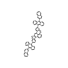 c1ccc2cc(-c3c4ccccc4c(-c4ccc5c(c4)Sc4cccc6c4c-5cc4sc5cc(-c7c8ccccc8c(-c8ccc9ccccc9c8)c8ccccc78)ccc5c46)c4ccccc34)ccc2c1